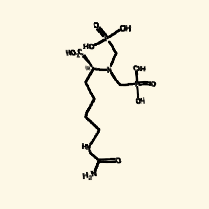 NC(=O)NCCCC[C@@H](C(=O)O)N(CP(=O)(O)O)CP(=O)(O)O